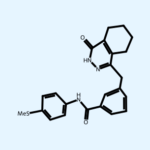 CSc1ccc(NC(=O)c2cccc(Cc3n[nH]c(=O)c4c3CCCC4)c2)cc1